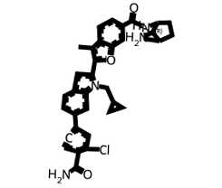 Cc1c(-c2cc3ccc(-c4ccc(C(N)=O)c(Cl)c4)cc3n2CC2CC2)oc2cc(C(=O)N3CC4CCC3[C@@H]4N)ccc12